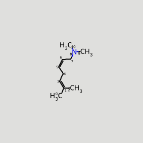 CC(C)=CC/C=C\CN(C)C